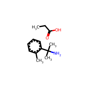 CCC(=O)O.Cc1ccccc1C(C)(C)N